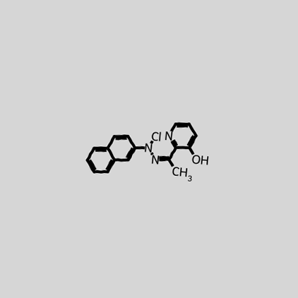 CC(=NN(Cl)c1ccc2ccccc2c1)c1ncccc1O